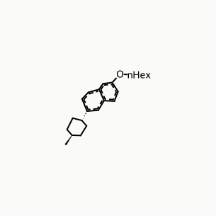 CCCCCCOc1ccc2cc([C@H]3CC[C@H](C)CC3)ccc2c1